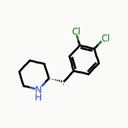 Clc1ccc([CH][C@H]2CCCCN2)cc1Cl